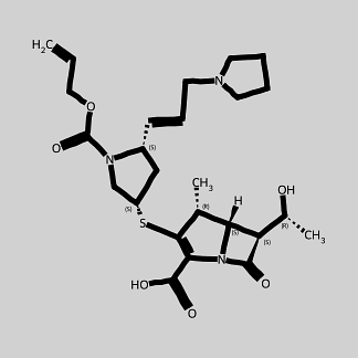 C=CCOC(=O)N1C[C@@H](SC2=C(C(=O)O)N3C(=O)[C@H]([C@@H](C)O)[C@H]3[C@H]2C)C[C@H]1C=CCN1CCCC1